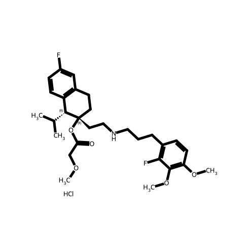 COCC(=O)O[C@@]1(CCNCCCc2ccc(OC)c(OC)c2F)CCc2cc(F)ccc2[C@H]1C(C)C.Cl